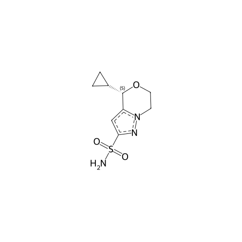 NS(=O)(=O)c1cc2n(n1)CCO[C@H]2C1CC1